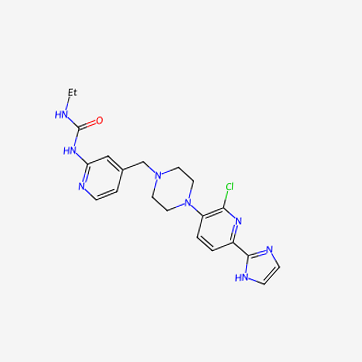 CCNC(=O)Nc1cc(CN2CCN(c3ccc(-c4ncc[nH]4)nc3Cl)CC2)ccn1